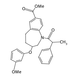 COC(=O)c1ccc2c(c1)CCC(Oc1cccc(OC)c1)CN2C(=O)C(C)c1ccccc1